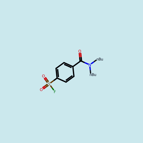 CCCCN(CCCC)C(=O)c1ccc(S(=O)(=O)F)cc1